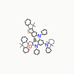 CC1(C)c2ccccc2C2(CC3=C(O2)N(c2ccccc2)c2cc(N4c5ccccc5C5(C)CCCCC45C)cc4c2B3c2cc3sc5c(c3cc2N4c2ccccc2)C(C)(C)c2ccccc2-5)c2ccccc21